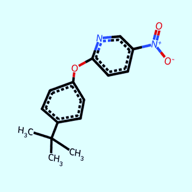 CC(C)(C)c1ccc(Oc2ccc([N+](=O)[O-])cn2)cc1